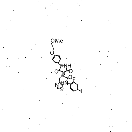 COCCOc1ccc([C@H]2NC(=O)N([C@@H](Cc3cscn3)C(=O)Nc3ccc(I)cc3F)C2=O)cc1